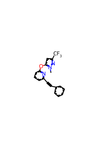 Cn1nc(C(F)(F)F)cc1Oc1cccc(C#Cc2ccccc2)n1